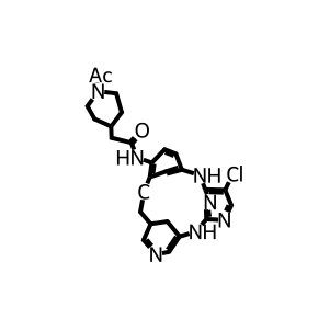 CC(=O)N1CCC(CC(=O)Nc2ccc3cc2CCC2C=NC=C(C2)Nc2ncc(Cl)c(n2)N3)CC1